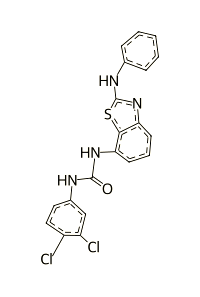 O=C(Nc1ccc(Cl)c(Cl)c1)Nc1cccc2nc(Nc3ccccc3)sc12